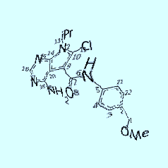 COCc1ccc(NC(=O)c2c(Cl)n(C(C)C)c3ncnc(N)c23)cc1